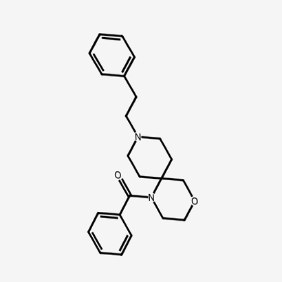 O=C(c1ccccc1)N1CCOCC12CCN(CCc1ccccc1)CC2